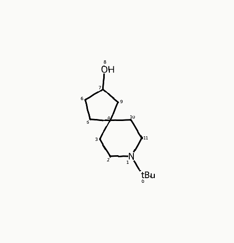 CC(C)(C)N1CCC2(CCC(O)C2)CC1